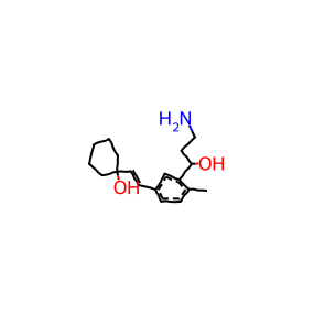 Cc1ccc(C=CC2(O)CCCCC2)cc1C(O)CCN